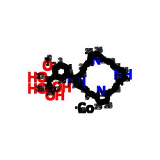 COc1ccc(-c2cc3cc4nc(cc5ccc(cc6nc(cc2[nH]3)C=C6)[nH]5)C=C4)cc1C(O)C(O)(O)O.[Co]